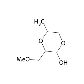 COCC1OC(C)COC1O